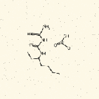 CCCCC(CC)NC(=N)NC(=N)N.O=[N+]([O-])O